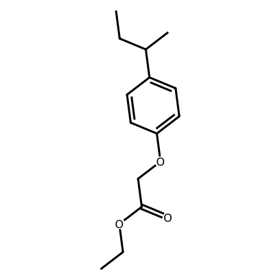 CCOC(=O)COc1ccc(C(C)CC)cc1